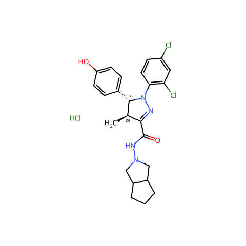 C[C@@H]1C(C(=O)NN2CC3CCCC3C2)=NN(c2ccc(Cl)cc2Cl)[C@H]1c1ccc(O)cc1.Cl